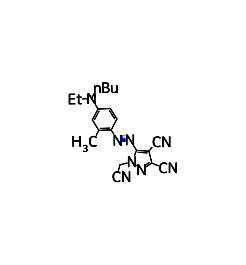 CCCCN(CC)c1ccc(/N=N/c2c(C#N)c(C#N)nn2CC#N)c(C)c1